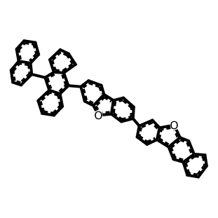 c1ccc2cc3c(cc2c1)oc1cc(-c2ccc4c(c2)oc2cc(-c5c6ccccc6c(-c6cccc7ccccc67)c6ccccc56)ccc24)ccc13